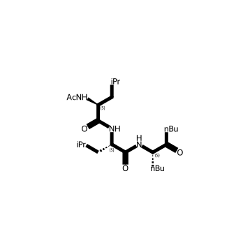 CCCCC(=O)[C@H](CCCC)NC(=O)[C@H](CC(C)C)NC(=O)[C@H](CC(C)C)NC(C)=O